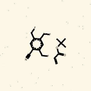 C=CC(=O)OC(C)(C)C.N#Cc1cc(CF)c(CF)cc1CF